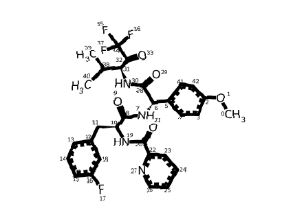 COc1ccc([C@H](NC(=O)[C@H](Cc2cccc(F)c2)NC(=O)c2ccccn2)C(=O)N[C@H](C(=O)C(F)(F)F)C(C)C)cc1